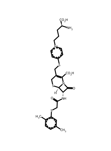 Cc1ccc(C)c(SCC(=O)N[C@H]2C(=O)N3C(C(=O)O)=C(CSc4cc[n+](CCC[C@H](N)C(=O)O)cc4)CS[C@H]23)c1